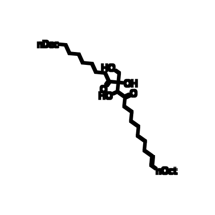 CCCCCCCCC=CCCCCCCCC(=O)C(O)C(O)(CO)C(=O)CCCCCCCCCCCCCCCCC